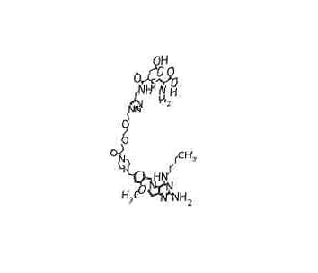 CCCCCNc1nc(N)nc2ccn(Cc3ccc(CN4CCN(C(=O)CCOCCOCCn5cc(CNC(=O)C(CC(=O)O)SC[C@H](N)C(=O)O)nn5)CC4)cc3OC)c12